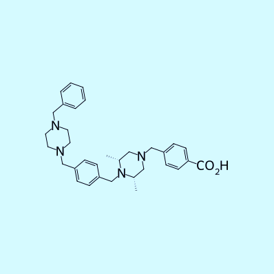 C[C@@H]1CN(Cc2ccc(C(=O)O)cc2)C[C@H](C)N1Cc1ccc(CN2CCN(Cc3ccccc3)CC2)cc1